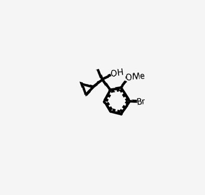 COc1c(Br)cccc1C(C)(O)C1CC1